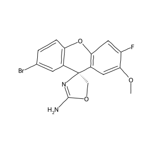 COc1cc2c(cc1F)Oc1ccc(Br)cc1[C@@]21COC(N)=N1